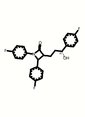 O=C1C(CC[C@@H](O)c2ccc(F)cc2)C(c2ccc(F)cc2)N1c1ccc(F)cc1